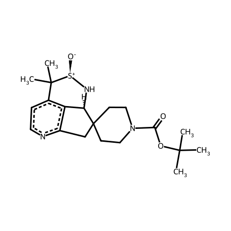 CC(C)(C)OC(=O)N1CCC2(CC1)Cc1nccc3c1[C@H]2N[S@+]([O-])C3(C)C